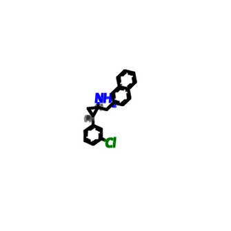 N[C@]1(Cc2ccc3ccccc3c2)C[C@@H]1c1cccc(Cl)c1